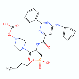 CCCCOP(=O)(O)C[C@H](NC(=O)c1cc(Nc2ccccc2)nc(-c2ccccc2)n1)C(=O)N1CCN(OC(=O)O)CC1